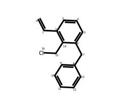 C=Cc1cccc(Cc2ccccc2)c1CCl